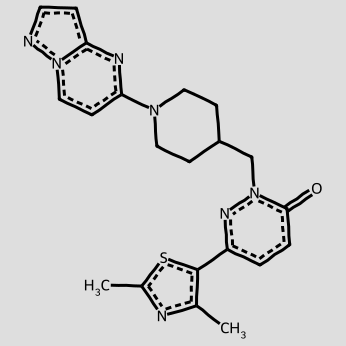 Cc1nc(C)c(-c2ccc(=O)n(CC3CCN(c4ccn5nccc5n4)CC3)n2)s1